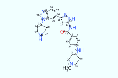 CN1CCC(Nc2ccc(C(=O)Nc3cc(-c4ccc5ncn(C6CCNCC6)c5c4)n[nH]3)cc2)CC1